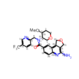 CO[C@H]1CCOC[C@@H]1N(Cc1ccc(C(F)(F)F)cn1)C(=O)c1ccc2nc(N)c3c(c2c1)COC3